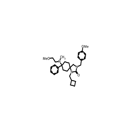 COCCN(C)C1(c2ccccc2)CCC2(CC1)CN(Cc1ccc(OC)cc1)C(=O)N2CC1CCC1